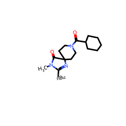 CCCCC1=NC2(CCN(C(=O)C3CCCCC3)CC2)C(=O)N1C